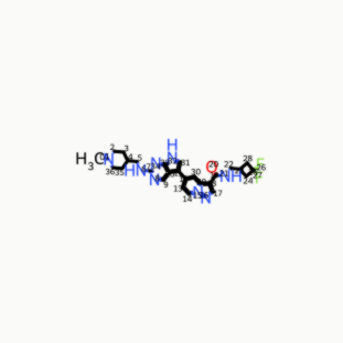 CN1CCC(CNc2ncc3c(-c4ccn5ncc(C(=O)NCC6CC(F)(F)C6)c5c4)c[nH]c3n2)CC1